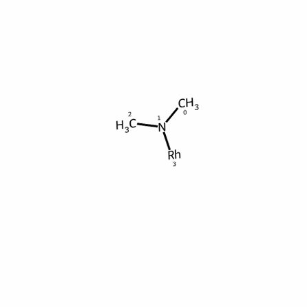 C[N](C)[Rh]